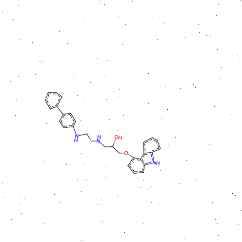 OC(CNCCNc1ccc(-c2ccccc2)cc1)COc1cccc2[nH]c3ccccc3c12